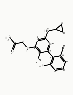 N#Cc1c(SCC(N)=O)nc(NC2CC2)nc1-c1c(F)cccc1F